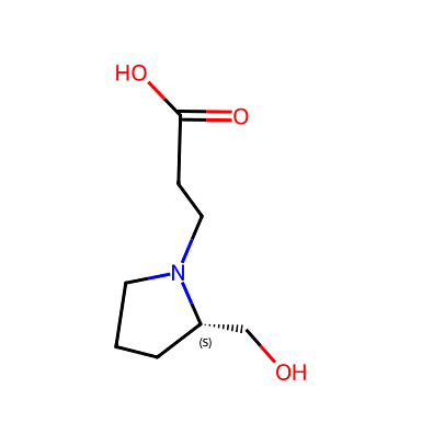 O=C(O)CCN1CCC[C@H]1CO